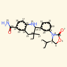 CC(C)[C@@H]1COC(=O)N1c1cccc(C2Nc3ccc(C(N)=O)cc3CC2(C)C)c1